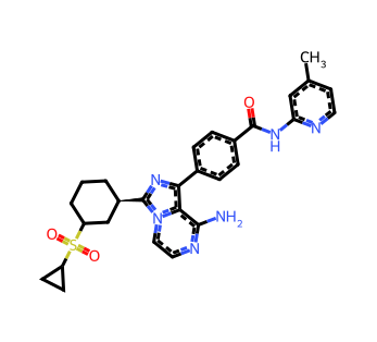 Cc1ccnc(NC(=O)c2ccc(-c3nc([C@@H]4CCCC(S(=O)(=O)C5CC5)C4)n4ccnc(N)c34)cc2)c1